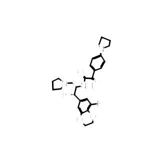 O=C(N[C@H](CN1CCCC1)[C@H](O)c1cc(F)c2c(c1)OCCO2)C(=O)c1ccc(N2CCCC2)cc1